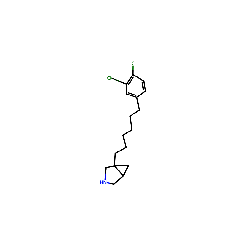 Clc1ccc(CCCCCCC23CNCC2C3)cc1Cl